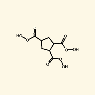 O=C(OO)C1CC(C(=O)OO)C(C(=O)OO)C1